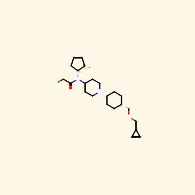 O=C(CBr)N(C1CCN([C@H]2CC[C@H](COCC3CC3)CC2)CC1)[C@H]1CCC[C@H]1O